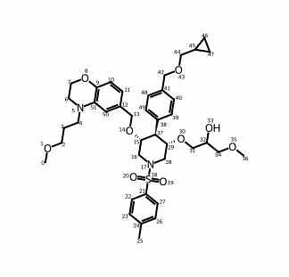 COCCCN1CCOc2ccc(CO[C@H]3CN(S(=O)(=O)c4ccc(C)cc4)C[C@@H](OCC(O)COC)[C@@H]3c3ccc(COCC4CC4)cc3)cc21